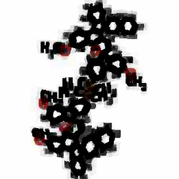 COc1ccc(C2(c3ccc(S(C)(C)S(C)(C)c4ccc(C5(c6ccc(OC)cc6)C=Cc6c7c(c8ccc(OC)cc8c6O5)-c5ccccc5C75CCC6(CCCCC6)CC5)cc4)cc3)C=Cc3c4c(c5ccc(OC)cc5c3O2)-c2ccccc2C42CCC3(CCCCC3)CC2)cc1